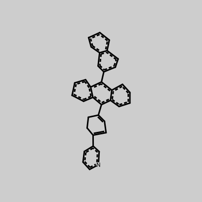 C1=C(c2cccnc2)CCC(c2c3ccccc3c(-c3ccc4ccccc4c3)c3ccccc23)=C1